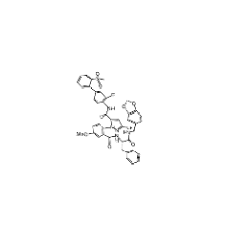 COc1ccc(-n2nc(C(F)(F)F)cc2C(=O)Nc2ccc(-c3ccccc3S(C)(=O)=O)cc2F)c(C(=O)N[C@@H](Cc2ccccc2)C(=O)NCc2ccc3c(c2)OCO3)c1